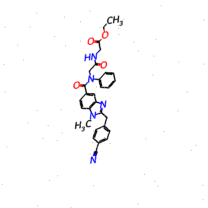 CCOC(=O)CNC(=O)CN(C(=O)c1ccc2c(c1)nc(Cc1ccc(C#N)cc1)n2C)c1ccccc1